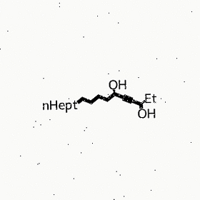 CCCCCCCCCCC[C@@H](O)C#C[C@H](O)CC